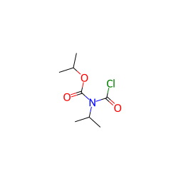 CC(C)OC(=O)N(C(=O)Cl)C(C)C